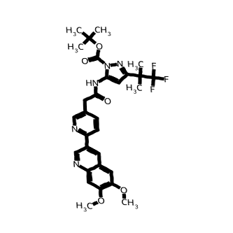 COc1cc2cc(-c3ccc(CC(=O)Nc4cc(C(C)(C)C(F)(F)F)nn4C(=O)OC(C)(C)C)cn3)cnc2cc1OC